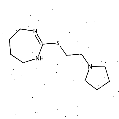 C1CCNC(SCCN2CCCC2)=NC1